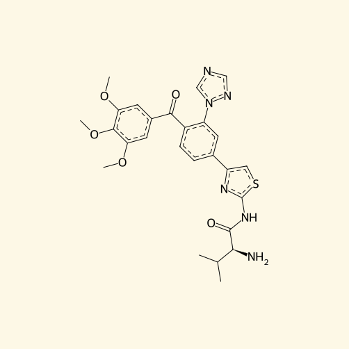 COc1cc(C(=O)c2ccc(-c3csc(NC(=O)[C@@H](N)C(C)C)n3)cc2-n2cncn2)cc(OC)c1OC